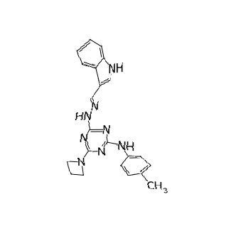 Cc1ccc(Nc2nc(N/N=C/c3c[nH]c4ccccc34)nc(N3CCC3)n2)cc1